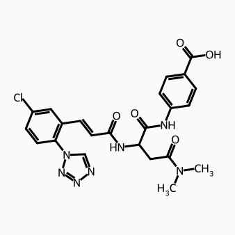 CN(C)C(=O)CC(NC(=O)C=Cc1cc(Cl)ccc1-n1cnnn1)C(=O)Nc1ccc(C(=O)O)cc1